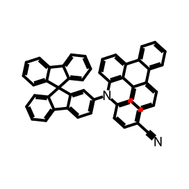 N#Cc1ccc(N(c2ccc3c(c2)C2(c4ccccc4-c4ccccc42)c2ccccc2-3)c2cccc3c4ccccc4c4ccccc4c23)cc1